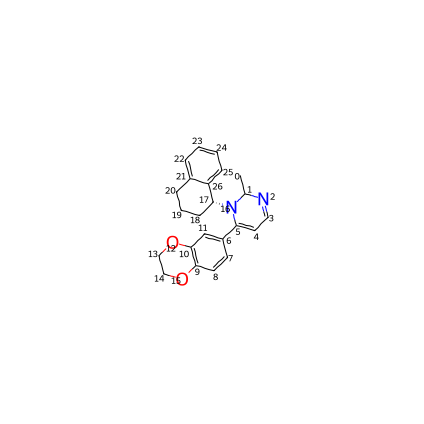 CC1N=CC=C(c2ccc3c(c2)OCCO3)N1[C@@H]1CCCc2ccccc21